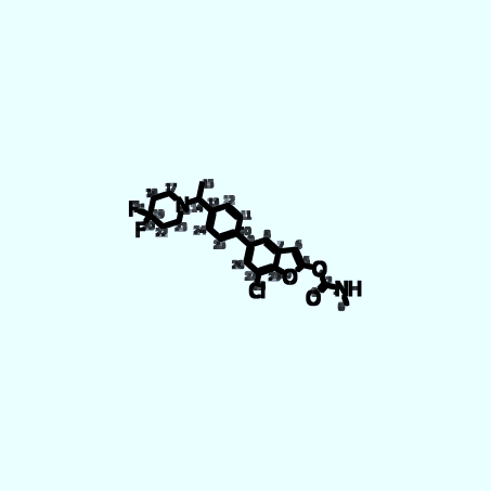 CNC(=O)Oc1cc2cc(-c3ccc(C(C)N4CCC(F)(F)CC4)cc3)cc(Cl)c2o1